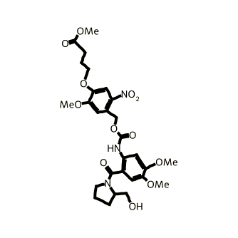 COC(=O)CCCOc1cc([N+](=O)[O-])c(COC(=O)Nc2cc(OC)c(OC)cc2C(=O)N2CCCC2CO)cc1OC